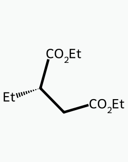 CCOC(=O)C[C@H](CC)C(=O)OCC